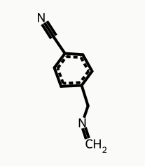 C=NCc1ccc(C#N)cc1